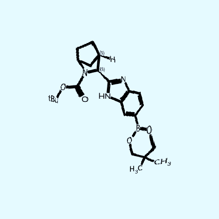 CC1(C)COB(c2ccc3nc([C@@H]4[C@H]5CCC(C5)N4C(=O)OC(C)(C)C)[nH]c3c2)OC1